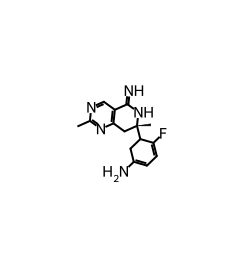 Cc1ncc2c(n1)C[C@@](C)(C1CC(N)=CC=C1F)NC2=N